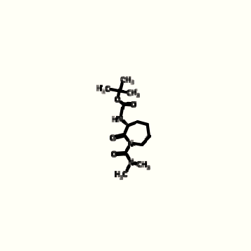 CN(C)C(=O)N1CCCC[C@H](NC(=O)OC(C)(C)C)C1=O